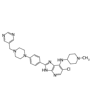 CN1CCC(Nc2c(Cl)cnc3[nH]c(-c4ccc(N5CCN(Cc6cncnc6)CC5)cc4)nc23)CC1